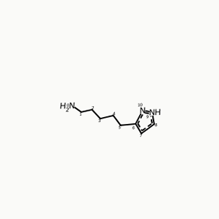 NCCCCCc1cc[nH]n1